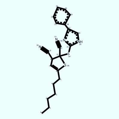 CCCCCCC1=CC(C#N)C(C#N)(Sc2nc(-c3ccccc3)c[nH]2)S1